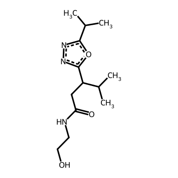 CC(C)c1nnc(C(CC(=O)NCCO)C(C)C)o1